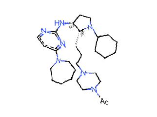 CC(=O)N1CCN(CCC[C@@H]2[C@@H](Nc3nccc(N4CCCCCC4)n3)CCN2C2CCCCC2)CC1